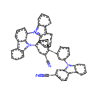 N#Cc1ccc2c3ccccc3n(-c3cccc(-c4ccc(-n5c6ccccc6c6cccc(-n7c8ccccc8c8ccccc87)c65)cc4C#N)c3)c2c1